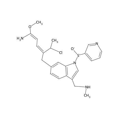 CNCc1cn([S+]([O-])c2cccnc2)c2cc(C/C(=C/C=C(\N)OC)C(C)Cl)ccc12